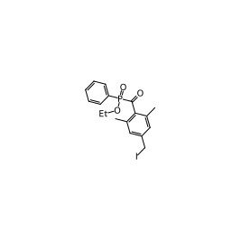 CCOP(=O)(C(=O)c1c(C)cc(CI)cc1C)c1ccccc1